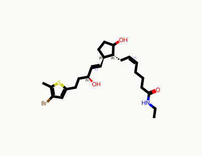 CCNC(=O)CCC/C=C\C[C@H]1C(O)CC[C@@H]1/C=C/[C@@H](O)CCc1cc(Br)c(C)s1